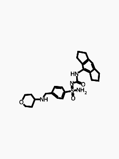 NS(=O)(=NC(=O)Nc1c2c(cc3c1CCC3)CCC2)c1ccc(CNC2CCOCC2)cc1